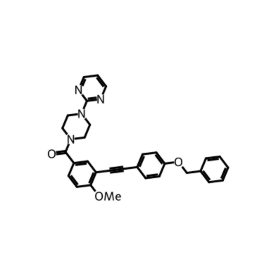 COc1ccc(C(=O)N2CCN(c3ncccn3)CC2)cc1C#Cc1ccc(OCc2ccccc2)cc1